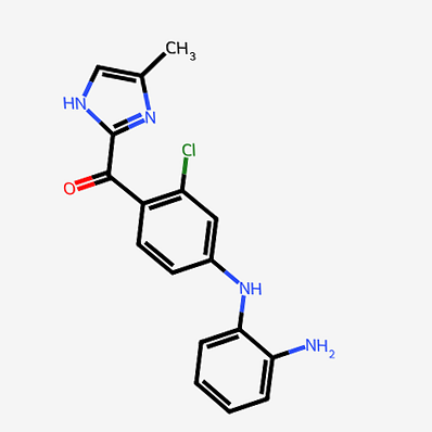 Cc1c[nH]c(C(=O)c2ccc(Nc3ccccc3N)cc2Cl)n1